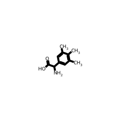 Cc1cc(C(N)C(=O)O)cc(C)c1C